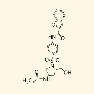 C=CC(=O)NC1CC(CO)N(S(=O)(=O)c2ccc(NC(=O)c3cc4ccccc4o3)cc2)C1